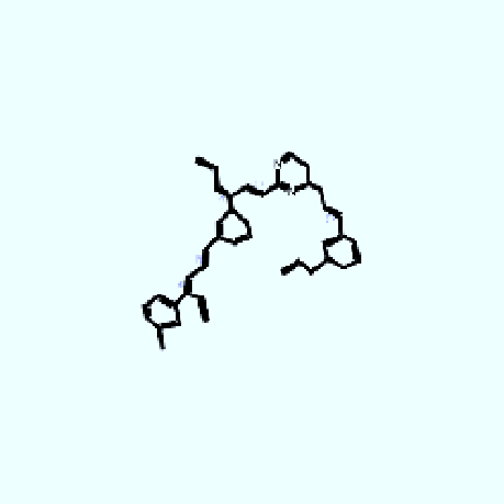 C=C/C=C(\C=C\C1=NC(C/C=C/C2=CC(CC=C)CC=C2)CC=N1)C1C=C(/C=C/C=C(\C=C)c2cccc(C)c2)C=CC1